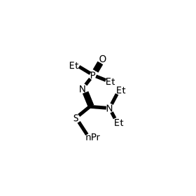 CCCSC(=NP(=O)(CC)CC)N(CC)CC